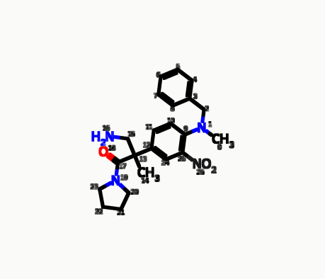 CN(Cc1ccccc1)c1ccc(C(C)(CN)C(=O)N2CCCC2)cc1[N+](=O)[O-]